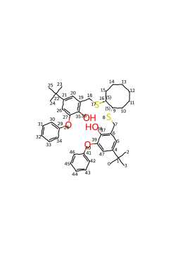 CC(C)(C)c1cc(CS[C@H]2CCCCCC[C@@H]2SCc2cc(C(C)(C)C)cc(Oc3ccccc3)c2O)c(O)c(Oc2ccccc2)c1